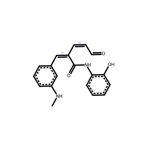 CNc1cccc(/C=C(/C=C\C=O)C(=O)Nc2ccccc2O)c1